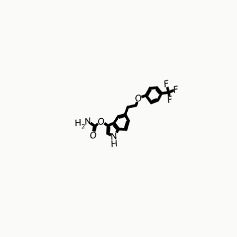 NC(=O)Oc1c[nH]c2ccc(CCOc3ccc(C(F)(F)F)cc3)cc12